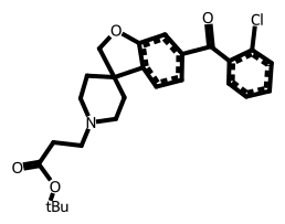 CC(C)(C)OC(=O)CCN1CCC2(CC1)COc1cc(C(=O)c3ccccc3Cl)ccc12